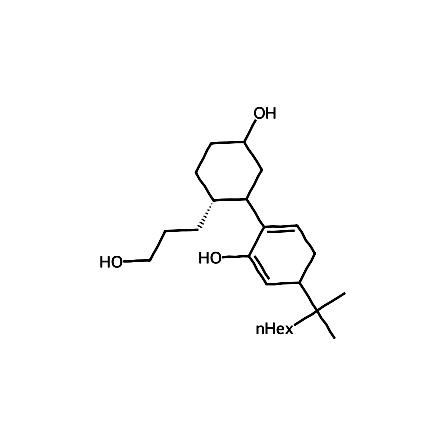 CCCCCCC(C)(C)C1C=C(O)C(C2CC(O)CC[C@H]2CCCO)=CC1